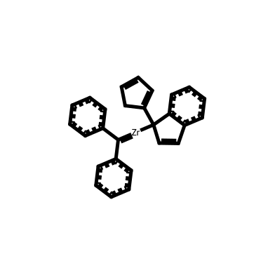 C1=CCC([C]2([Zr]=[C](c3ccccc3)c3ccccc3)C=Cc3ccccc32)=C1